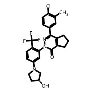 Cc1cc(-c2nn(-c3cc(N4CC[C@H](O)C4)ccc3C(F)(F)F)c(=O)c3c2CCC3)ccc1Cl